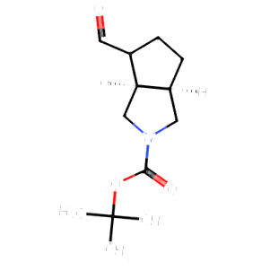 CC(C)(C)OC(=O)N1C[C@@H]2CCC(C=O)[C@@H]2C1